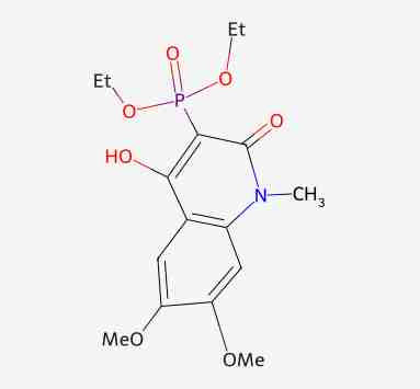 CCOP(=O)(OCC)c1c(O)c2cc(OC)c(OC)cc2n(C)c1=O